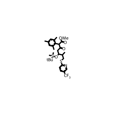 COC(=O)C(C(=O)CC(O[Si](C)(C)C(C)(C)C)C(C)CSc1ccc(C(F)(F)F)cn1)c1c(C)cc(C)cc1C